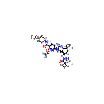 Cn1c(Nc2cc(CNC(=O)C3(C(F)(F)F)CCC3)ccc2C(F)(F)F)nc2cc(C(=O)NC3CCC(C(F)(F)F)CC3)c(OCC(F)F)nc21